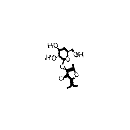 CC(C)=C1OC(C)=C(O[C@@H]2O[C@H](CO)C[C@H](O)[C@H]2O)C1=O